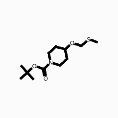 CSCOC1CCN(C(=O)OC(C)(C)C)CC1